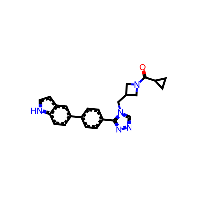 O=C(C1CC1)N1CC(Cn2cnnc2-c2ccc(-c3ccc4[nH]ccc4c3)cc2)C1